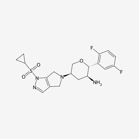 N[C@H]1C[C@@H](N2Cc3cnn(S(=O)(=O)C4CC4)c3C2)CO[C@@H]1c1cc(F)ccc1F